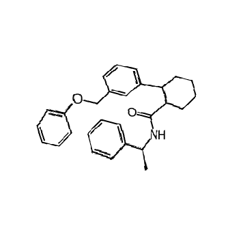 C[C@H](NC(=O)C1CCCCC1c1cccc(COc2ccccc2)c1)c1ccccc1